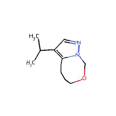 CC(C)c1cnn2c1CCOC2